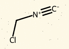 [C-]#[N+]CCl